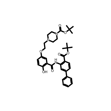 CC(C)(C)OC(=O)c1ccc(-c2ccccc2)cc1NC(=O)c1cc(OCCN2CCN(C(=O)OC(C)(C)C)CC2)ccc1O